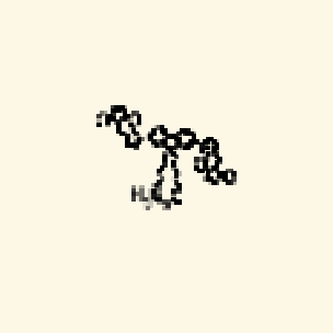 CCCCCCC1(CCCCCC)c2cc(-c3ccc(C=C4C(=O)C=CC4=O)s3)ccc2-c2ccc(-c3ccc(C=C4C(=O)C=CC4=O)s3)cc21